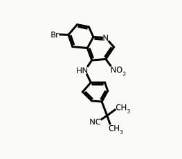 CC(C)(C#N)c1ccc(Nc2c([N+](=O)[O-])cnc3ccc(Br)cc23)cc1